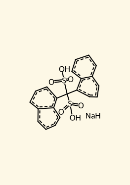 O=S(=O)(O)C(c1cccc2ccccc12)(c1cccc2ccccc12)S(=O)(=O)O.[NaH]